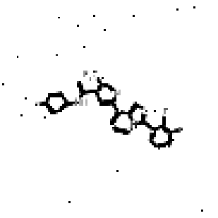 C=C(Nc1ccc(F)cc1)c1cc(-c2cccn3c(-c4cccc(F)c4F)ncc23)ncc1C(F)(F)F